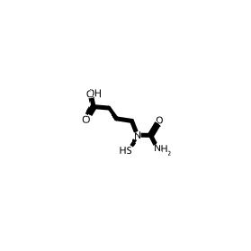 NC(=O)N(S)CCCC(=O)O